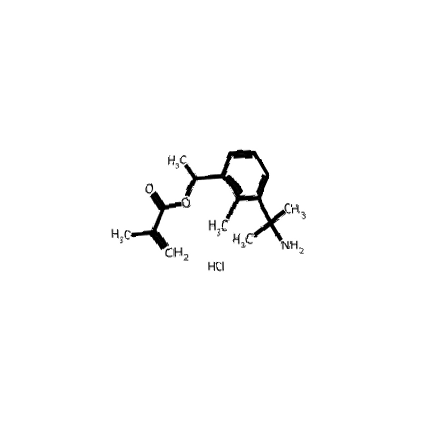 C=C(C)C(=O)OC(C)c1cccc(C(C)(C)N)c1C.Cl